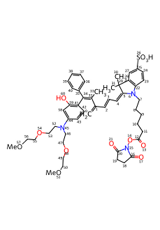 C=C(/C=C/C=C1/N(CCCCCC(=O)ON2C(=O)CCC2=O)c2ccc(S(=O)(=O)O)cc2C1(C)C)/C(C)=C(/c1ccccc1)c1ccc(N(CCOCCOC)CCOCCOC)cc1O